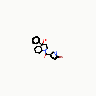 O=C(c1ccc(Br)nc1)N1CCC(O)(c2ccccc2)C2CCCCC21